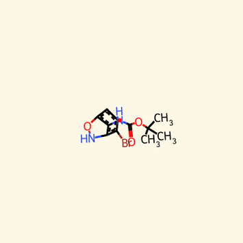 CC(C)(C)OC(=O)Nc1c2ccc(Br)c1NO2